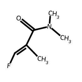 C/C(=C\F)C(=O)N(C)C